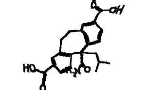 CC(C)CC1(C(N)=O)c2ccc(C(=O)O)cc2CCc2cc(C(=O)O)ccc21